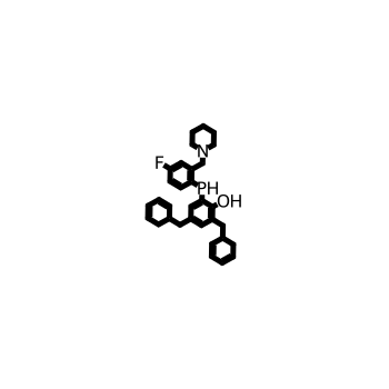 Oc1c(CC2C=CC=CC2)cc(CC2C=CC=CC2)cc1Pc1ccc(F)cc1CN1CCCCC1